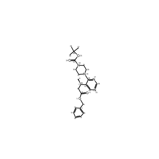 C[C@H](CC(=O)OCc1ccccc1)c1cncnc1N1CCN(C(=O)OC(C)(C)C)CC1